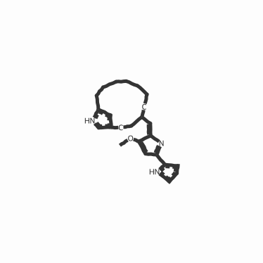 COC1=CC(c2ccc[nH]2)=NC1=CC1CCCCCCCc2cc(c[nH]2)CC1